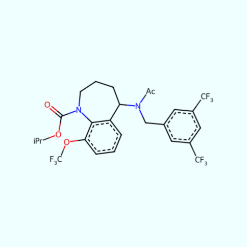 CC(=O)N(Cc1cc(C(F)(F)F)cc(C(F)(F)F)c1)C1CCCN(C(=O)OC(C)C)c2c(OC(F)(F)F)cccc21